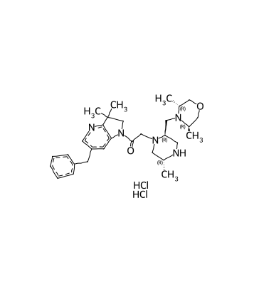 C[C@@H]1CN(CC(=O)N2CC(C)(C)c3ncc(Cc4ccccc4)cc32)[C@@H](CN2[C@H](C)COC[C@H]2C)CN1.Cl.Cl